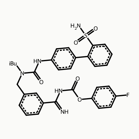 CCC(C)N(Cc1cccc(C(=N)NC(=O)Oc2ccc(F)cc2)c1)C(=O)Nc1ccc(-c2ccccc2S(N)(=O)=O)cc1